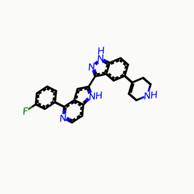 Fc1cccc(-c2nccc3[nH]c(-c4n[nH]c5ccc(C6=CCNCC6)cc45)cc23)c1